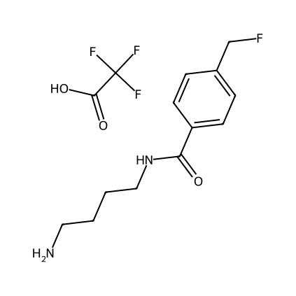 NCCCCNC(=O)c1ccc(CF)cc1.O=C(O)C(F)(F)F